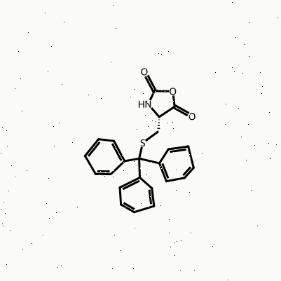 O=C1N[C@@H](CSC(c2ccccc2)(c2ccccc2)c2ccccc2)C(=O)O1